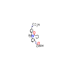 [2H]C(c1ccc(/C=C/C(=O)O)cc1)N(C(=O)C1CCCCC1)c1cccc(/C=C/C(=O)OC)c1